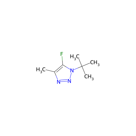 Cc1nnn(C(C)(C)C)c1F